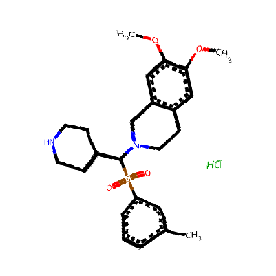 COc1cc2c(cc1OC)CN(C(C1CCNCC1)S(=O)(=O)c1cccc(C)c1)CC2.Cl